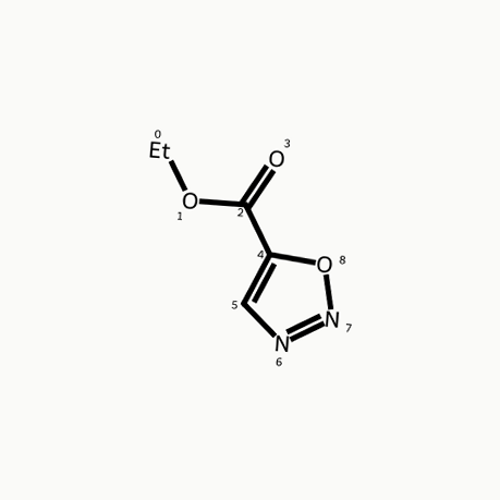 CCOC(=O)c1cnno1